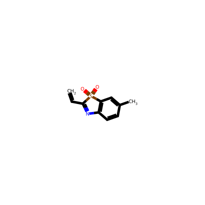 C=CC1=Nc2ccc(C)cc2S1(=O)=O